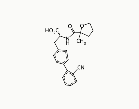 CC1(C(=O)N[C@@H](Cc2ccc(-c3ccccc3C#N)cc2)C(=O)O)CCCO1